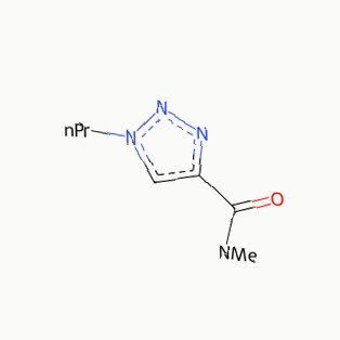 CCCn1cc(C(=O)NC)nn1